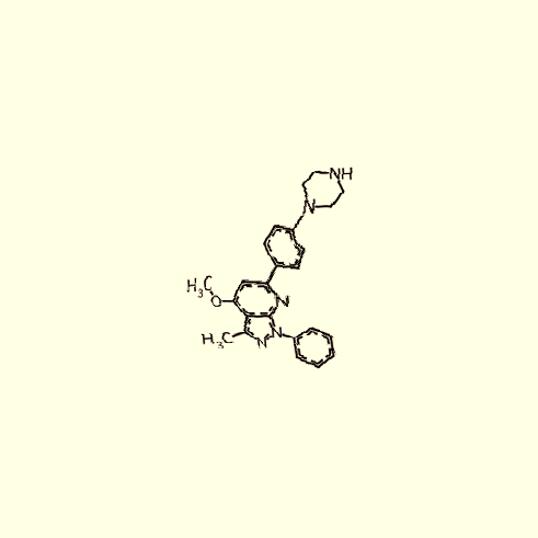 COc1cc(-c2ccc(N3CCNCC3)cc2)nc2c1c(C)nn2-c1ccccc1